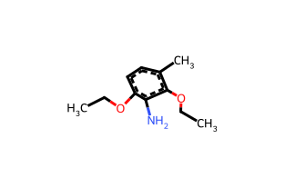 CCOc1ccc(C)c(OCC)c1N